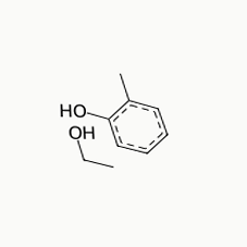 CCO.Cc1ccccc1O